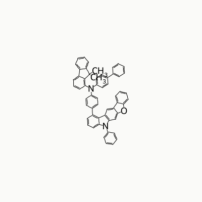 CC1(C)c2ccccc2-c2cccc(N(c3ccc(-c4ccccc4)cc3)c3ccc(-c4cccc5c4c4cc6c(cc4n5-c4ccccc4)oc4ccccc46)cc3)c21